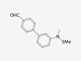 CSN(C)c1cccc(-c2ccc(C=O)cc2)c1